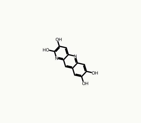 Oc1cc2cc3nc(O)c(O)cc3nc2cc1O